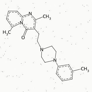 Cc1cccc(N2CCN(CCc3c(C)nc4cccc(C)n4c3=O)CC2)c1